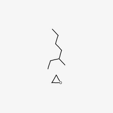 C1CO1.CCCCC(C)CC